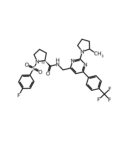 CC1CCCN1c1nc(CNC(=O)[C@@H]2CCCN2S(=O)(=O)c2ccc(F)cc2)cc(-c2ccc(C(F)(F)F)cc2)n1